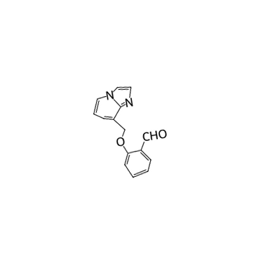 O=Cc1ccccc1OCc1cccn2ccnc12